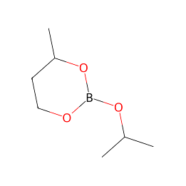 CC(C)OB1OCCC(C)O1